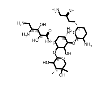 C[C@@H]1C(O)[C@@H](OC2C(O)C(O[C@H]3O[C@H](CCC(=N)CN)CCC3N)[C@@H](N)C[C@H]2NC(=O)[C@@H](O)[C@@H](O)[C@@H](N)CN)OCC1(C)O